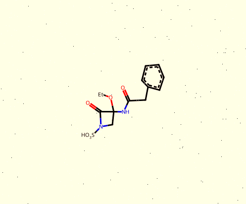 CCOC1(NC(=O)Cc2ccccc2)CN(S(=O)(=O)O)C1=O